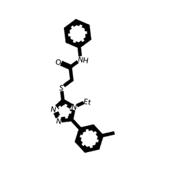 CCn1c(SCC(=O)Nc2ccccc2)nnc1-c1cccc(C)c1